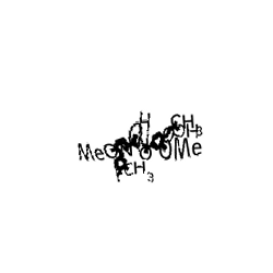 COc1cc(C(=O)NCC(=O)c2ccc(OC)c(-c3ccc(F)c(C)c3)n2)ccc1OCC(C)O